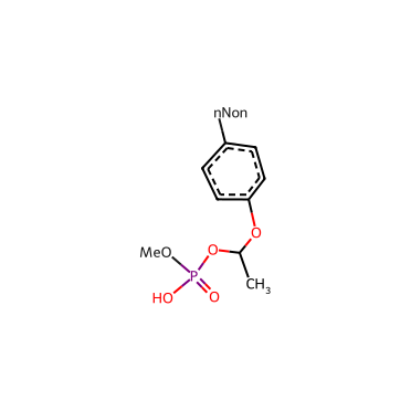 CCCCCCCCCc1ccc(OC(C)OP(=O)(O)OC)cc1